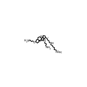 CCCCCCCCCCCCCCCCNCCC[C@@H](C)C1CC[C@H]2C3CCC4C[C@H](OCCCN)CCC4(C)[C@H]3C[C@H](OCCCN)[C@@]12C